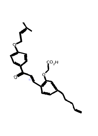 C=CCCCc1ccc(/C=C/C(=O)c2ccc(OCC=C(C)C)cc2)c(OCC(=O)O)c1